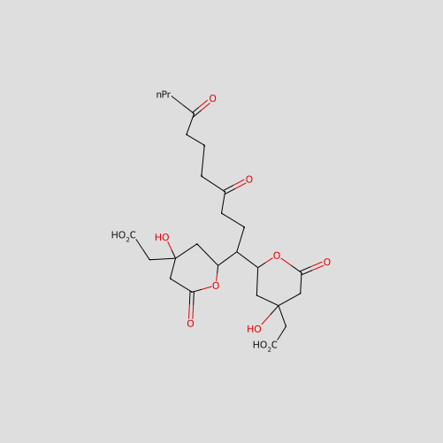 CCCC(=O)CCCC(=O)CCC(C1CC(O)(CC(=O)O)CC(=O)O1)C1CC(O)(CC(=O)O)CC(=O)O1